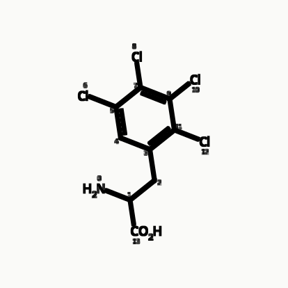 NC(Cc1cc(Cl)c(Cl)c(Cl)c1Cl)C(=O)O